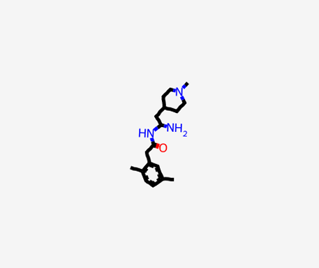 Cc1ccc(C)c(CC(=O)NC(N)CC2CCN(C)CC2)c1